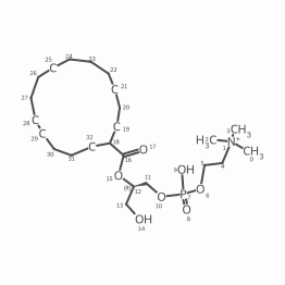 C[N+](C)(C)CCOP(=O)(O)OC[C@@H](CO)OC(=O)C1CCCCCCCCCCCCCC1